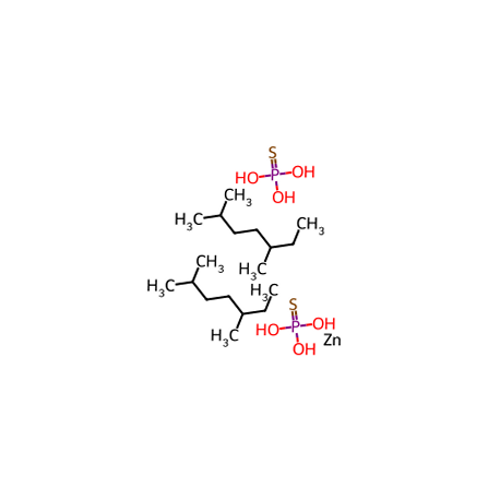 CCC(C)CCC(C)C.CCC(C)CCC(C)C.OP(O)(O)=S.OP(O)(O)=S.[Zn]